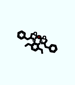 CCc1ccc(CC)c(N2C(=O)OCC2Cc2ccccc2)c1N1C(=O)OCC1Cc1ccccc1